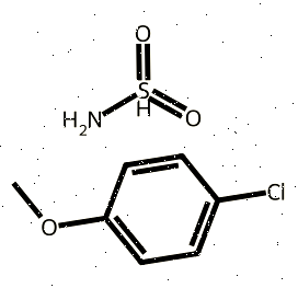 COc1ccc(Cl)cc1.N[SH](=O)=O